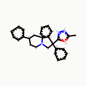 Cc1nnc(C(CN2CCC(c3ccccc3)CC2)(c2ccccc2)c2ccccc2)o1